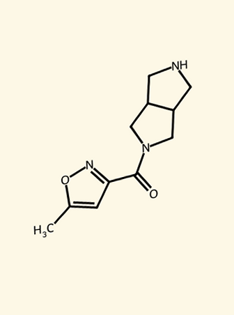 Cc1cc(C(=O)N2CC3CNCC3C2)no1